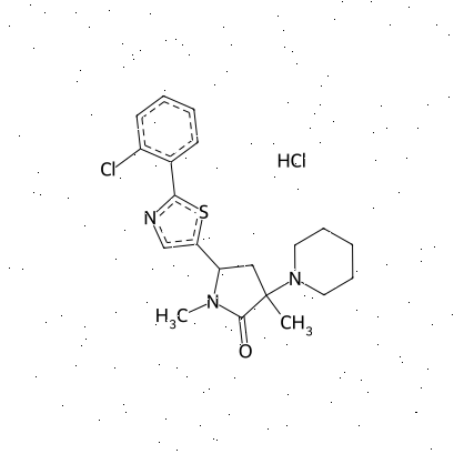 CN1C(=O)C(C)(N2CCCCC2)CC1c1cnc(-c2ccccc2Cl)s1.Cl